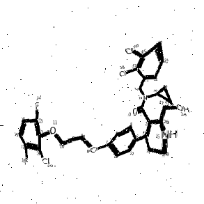 O=C(C1=C(c2ccc(OCCOc3c(F)ccc(F)c3Cl)cc2)CCNC1CO)N(Cc1cccc(Cl)c1Cl)C1CC1